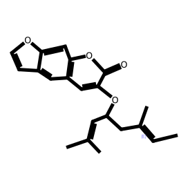 C/C=C(\C)CC(C=C(C)C)Oc1cc2cc3ccoc3cc2oc1=O